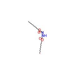 CCCCCCCCCCCCCCOC(=O)CCNCCN(C)CCC(=O)OCCCCCCCCCCCCCC